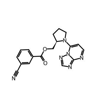 N#Cc1cccc(C(=O)OC[C@H]2CCCN2c2ccnc3ncnn23)c1